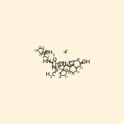 CC(CCC(=O)NCC[N+]1(C)CCCC1)[C@H]1CCC2C3CCC4C[C@H](O)CC[C@]4(C)C3C[C@H](O)[C@@]21C.[I-]